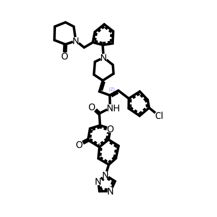 O=C(N/C(C=C1CCN(c2ccccc2CN2CCCCC2=O)CC1)=C\c1ccc(Cl)cc1)c1cc(=O)c2cc(-n3cncn3)ccc2o1